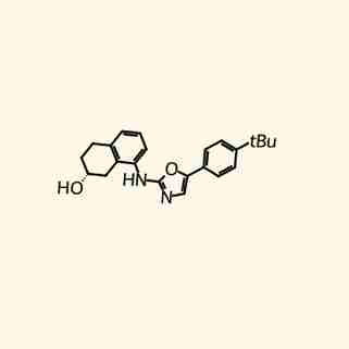 CC(C)(C)c1ccc(-c2cnc(Nc3cccc4c3C[C@H](O)CC4)o2)cc1